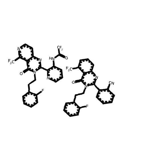 N#Cc1ccccc1-c1nc2cccc(C(F)(F)F)c2c(=O)n1CCc1ccccc1F.O=C(Nc1cccnc1-c1nc2ccnc(C(F)(F)F)c2c(=O)n1CCc1ccccc1F)C(F)(F)F